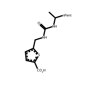 CCCCCC(C)NC(=O)NCc1ccc(C(=O)O)s1